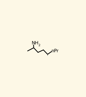 CCC[CH]CCC(C)N